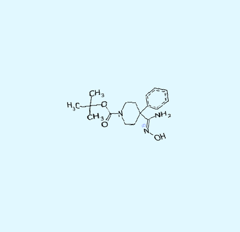 CC(C)(C)OC(=O)N1CCC(/C(N)=N/O)(c2ccccc2)CC1